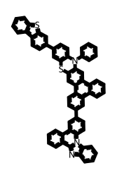 c1ccc(N2c3ccc(-c4ccc5c(c4)sc4ccccc45)cc3Sc3cc4c5ccc(-c6ccc7c(c6)c6ccccc6c6nc8ccccc8n76)cc5c5ccccc5c4cc32)cc1